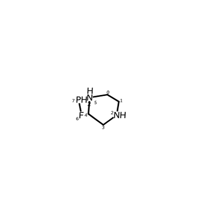 C1CNCCN1.FP